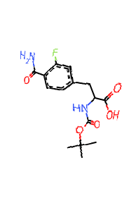 CC(C)(C)OC(=O)NC(Cc1ccc(C(N)=O)c(F)c1)C(=O)O